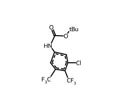 CC(C)(C)OC(=O)Nc1cc(Cl)c(C(F)(F)F)c(C(F)(F)F)c1